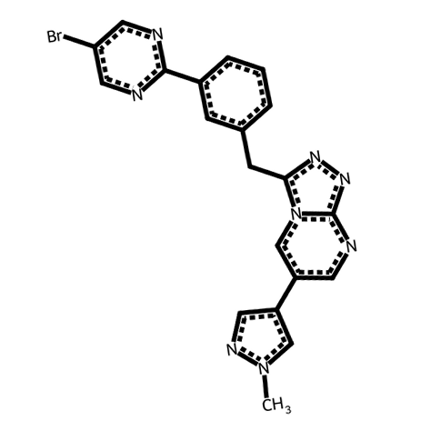 Cn1cc(-c2cnc3nnc(Cc4cccc(-c5ncc(Br)cn5)c4)n3c2)cn1